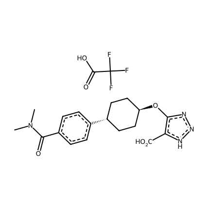 CN(C)C(=O)c1ccc([C@H]2CC[C@H](Oc3nn[nH]c3C(=O)O)CC2)cc1.O=C(O)C(F)(F)F